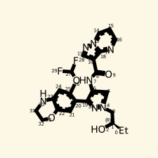 CC[C@@H](O)Cn1cc(NC(=O)c2cnn3cccnc23)c(-c2cc3c(cc2OC(F)F)NCCO3)n1